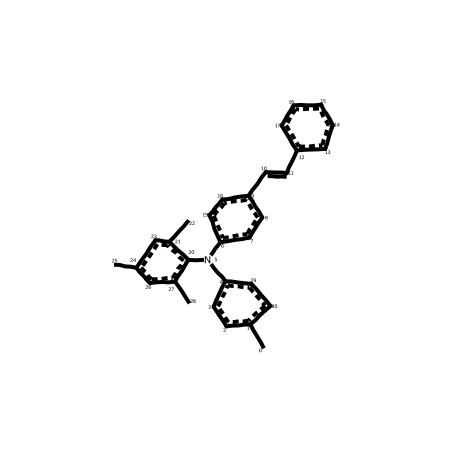 Cc1ccc(N(c2ccc(C=Cc3ccccc3)cc2)c2c(C)cc(C)cc2C)cc1